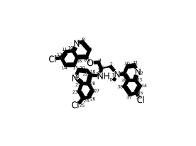 CN(C[C@H](COc1ccnc2cc(Cl)ccc12)Nc1ccnc2cc(Cl)ccc12)c1ccnc2cc(Cl)ccc12